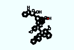 CCCC(CC(CC(c1ccc(OC)cc1)(c1ccc(OC)cc1)C(C)CCC(CCCc1ccccc1)C(Cc1ccccc1)(c1ccccc1)c1ccc(OC)cc1)c1ccc(O)cc1)C(Cc1c[nH]c2ccccc12)C(=O)O